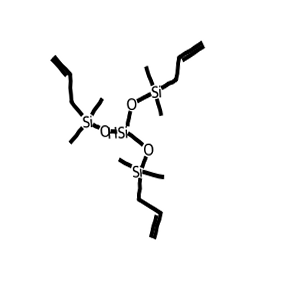 C=CC[Si](C)(C)O[SiH](O[Si](C)(C)CC=C)O[Si](C)(C)CC=C